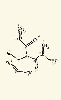 C=CC#N.C=CC(=O)N(CO)C(=O)C(=C)CC